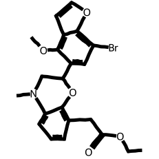 CCOC(=O)Cc1cccc2c1OC(c1cc(Br)c3occc3c1OC)CN2C